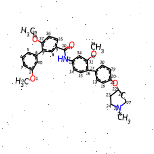 COc1cccc(-c2cc(C(=O)Nc3ccc(-c4ccc(OC5CCN(C)CC5)cc4)c(OC)c3)ccc2OC)c1